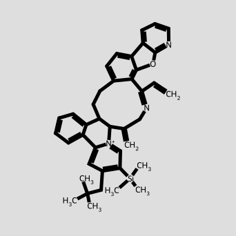 C=C/C1=N/CC(=C)C2C(CCc3ccc4c(oc5ncccc54)c31)c1ccccc1-c1cc(CC(C)(C)C)c([Si](C)(C)C)c[n+]12